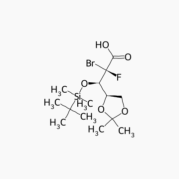 CC1(C)OC[C@H]([C@@H](O[Si](C)(C)C(C)(C)C)[C@](F)(Br)C(=O)O)O1